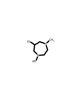 CCCN1CCN(C)CC(CC)C1